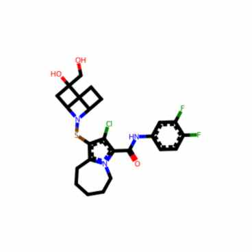 O=C(Nc1ccc(F)c(F)c1)c1c(Cl)c(SN2C3CCC34C2CC4(O)CO)c2n1CCCCC2